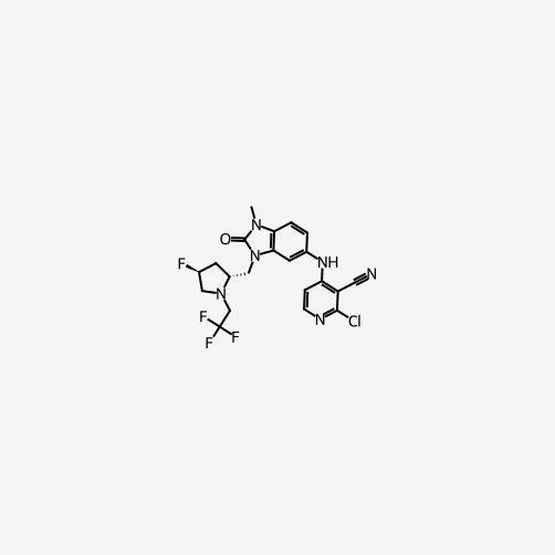 Cn1c(=O)n(C[C@H]2C[C@H](F)CN2CC(F)(F)F)c2cc(Nc3ccnc(Cl)c3C#N)ccc21